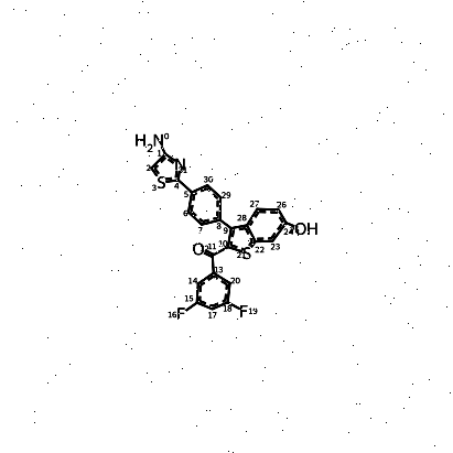 Nc1csc(-c2ccc(-c3c(C(=O)c4cc(F)cc(F)c4)sc4cc(O)ccc34)cc2)n1